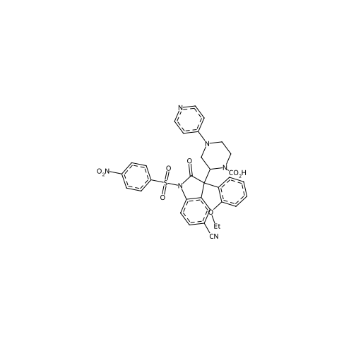 CCOc1ccccc1C1(C2CN(c3ccncc3)CCN2C(=O)O)C(=O)N(S(=O)(=O)c2ccc([N+](=O)[O-])cc2)c2ccc(C#N)cc21